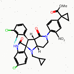 COC(=O)C1(c2ccc(N3CC[C@H]4[C@@H](C3=O)[C@H](c3cccc(Cl)c3F)[C@]3(C(=O)Nc5cc(Cl)ccc53)N4CC3CC3)c([N+](=O)[O-])c2)CC1